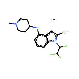 CN1CCC(Nc2cccc3c2cc(C(=O)[O-])n3C(F)C(F)F)CC1.[Na+]